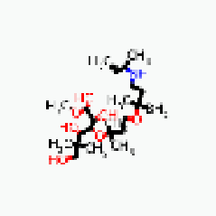 BC(C)(CCNC(C)C=C)OCCC(C)(C)OC(C(O)C(O)OC)C(O)C(C)(C)CO